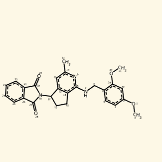 COc1ccc(CNc2nc(C)cc3c2CCC3N2C(=O)c3ccccc3C2=O)c(OC)c1